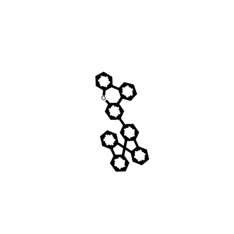 c1ccc2c(c1)Oc1ccc(-c3ccc4c(c3)C3(c5ccccc5-c5ccccc53)c3ccccc3-4)cc1-c1ccccc1-2